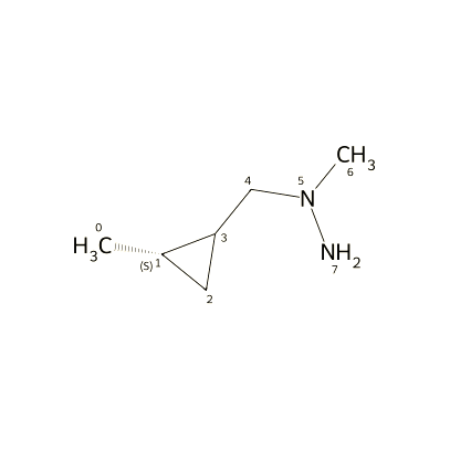 C[C@H]1CC1CN(C)N